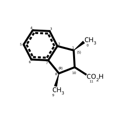 C[C@@H]1c2ccccc2[C@H](C)C1C(=O)O